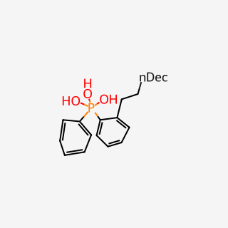 CCCCCCCCCCCCc1ccccc1P(O)(O)(O)c1ccccc1